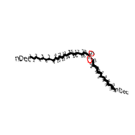 CCCCCCCCCCCCCCCCCCCCCCCCCCCCCC(=O)OCCCCCCCCCCCCCCCCCCCCCC